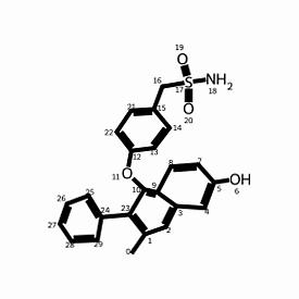 Cc1cc2cc(O)ccc2c(Oc2ccc(CS(N)(=O)=O)cc2)c1-c1ccccc1